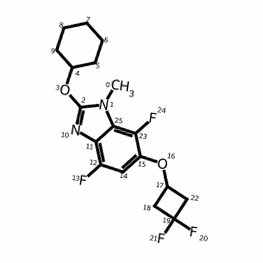 Cn1c(OC2CCCCC2)nc2c(F)cc(OC3CC(F)(F)C3)c(F)c21